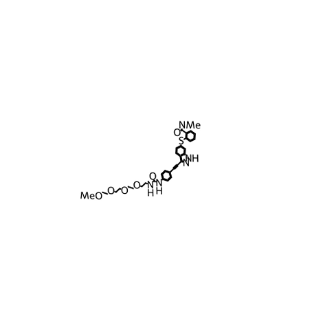 CNC(=O)c1ccccc1Sc1ccc2c(C#Cc3ccc(NC(=O)NCCOCCOCCOCCOC)cc3)n[nH]c2c1